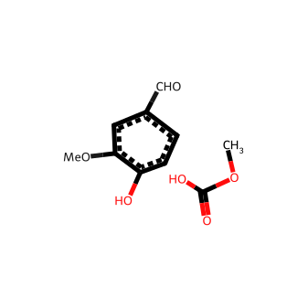 COC(=O)O.COc1cc(C=O)ccc1O